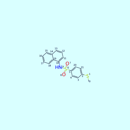 CSc1ccc(S(=O)(=O)Nc2cccc3ccccc23)cc1